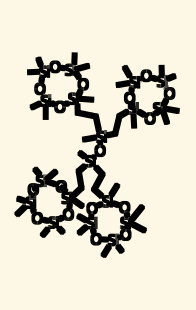 C[Si](CC[Si]1(C)O[Si](C)(C)O[Si](C)(C)O[Si](C)(C)O1)(CC[Si]1(C)O[Si](C)(C)O[Si](C)(C)O[Si](C)(C)O1)O[Si](C)(CC[Si]1(C)O[Si](C)(C)O[Si](C)(C)O[Si](C)(C)O1)CC[Si]1(C)O[Si](C)(C)O[Si](C)(C)O[Si](C)(C)O1